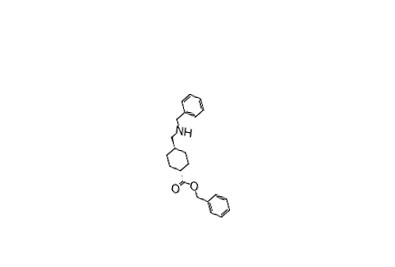 O=C(OCc1ccccc1)[C@H]1CC[C@H](CNCc2ccccc2)CC1